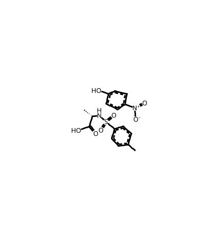 Cc1ccc(S(=O)(=O)N[C@@H](C)C(=O)O)cc1.O=[N+]([O-])c1ccc(O)cc1